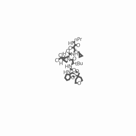 CCCNC(=O)C(=O)[C@H](CC1CC1)NC(=O)[C@@H]1[C@@H]2[C@H](CN1C(=O)[C@@H](NC(=O)NC1(CS(=O)(=O)C3(C)CCOCC3)CCCCC1)C(C)(C)C)C2(Cl)Cl